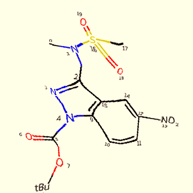 CN(c1nn(C(=O)OC(C)(C)C)c2ccc([N+](=O)[O-])cc12)S(C)(=O)=O